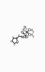 CC(C)(C)S(=O)(=O)NCC1CCCO1